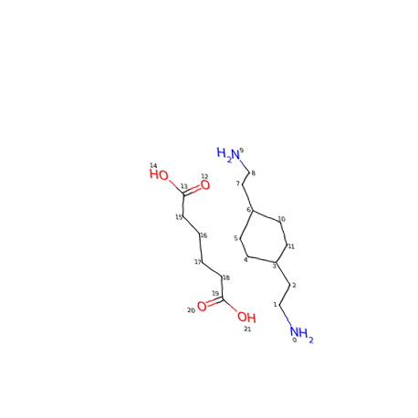 NCCC1CCC(CCN)CC1.O=C(O)CCCCC(=O)O